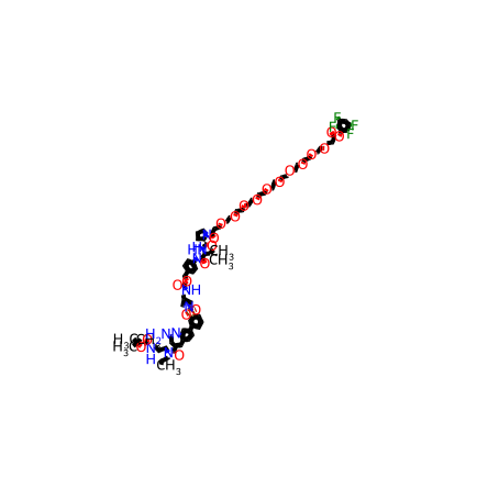 CCCN(CCCNC(=O)OC(C)(C)C)C(=O)C1=Cc2ccc(-c3cccc(S(=O)(=O)N4CC(CNC(=O)OCc5ccc(NC(=O)[C@@H](NC(=O)[C@@H]6CCCN6C(=O)CCOCCOCCOCCOCCOCCOCCOCCOCCOCCOCCC(=O)Oc6c(F)c(F)cc(F)c6F)C(C)C)cc5)C4)c3)cc2N=C(N)C1